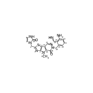 Cn1c2nc(Cn3cc[nH]c3=O)sc2c2cnn(Cc3cccc(N)c3C=N)c(=O)c21